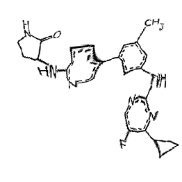 Cc1cc(Nc2ncc(F)c(C3CC3)n2)cc(-c2ccc(NC3CCNC3=O)nc2)c1